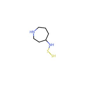 SSNC1CCCNCC1